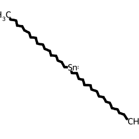 CCCCCCCCCCCCCCCCC[CH2][Sn][CH2]CCCCCCCCCCCCCCCCC